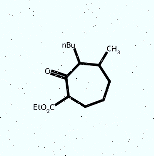 CCCCC1C(=O)C(C(=O)OCC)CCCC1C